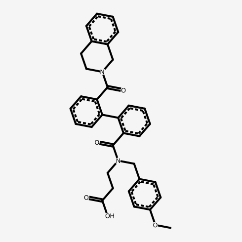 COc1ccc(CN(CCC(=O)O)C(=O)c2ccccc2-c2ccccc2C(=O)N2CCc3ccccc3C2)cc1